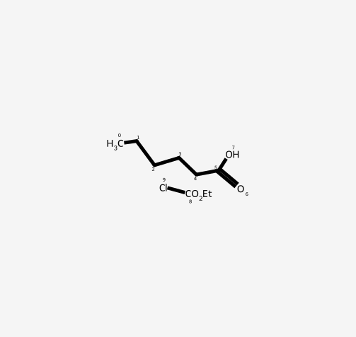 CCCCCC(=O)O.CCOC(=O)Cl